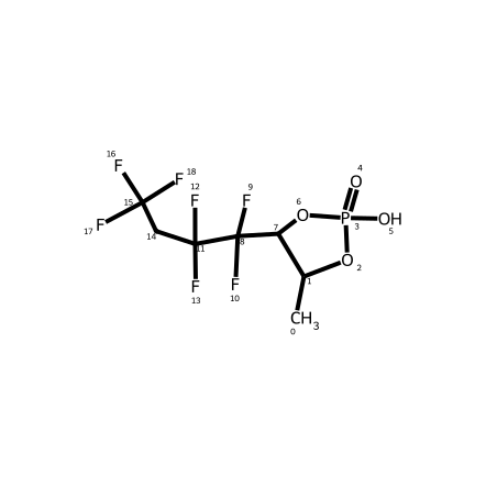 CC1OP(=O)(O)OC1C(F)(F)C(F)(F)CC(F)(F)F